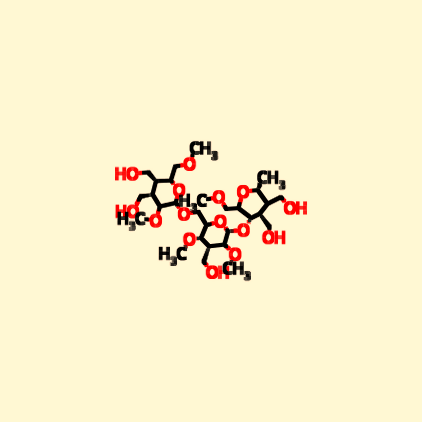 COCC1O[C@@H](C)C(CO)[C@@H](CO)[C@@H]1O[C@@H]1OC(COC2OC(COC)[C@H](CO)[C@H](CO)C2OC)[C@@H](OC)[C@H](CO)C1OC